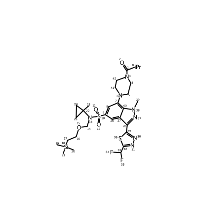 CC(C)C(=O)N1CCN(c2cc(S(=O)(=O)N(COCC[Si](C)(C)C)C3(C)CC3)cc3c(-c4nnc(C(F)F)s4)nn(C)c23)CC1